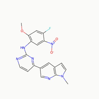 COc1cc(F)c([N+](=O)[O-])cc1Nc1nccc(-c2cnc3c(ccn3C)c2)n1